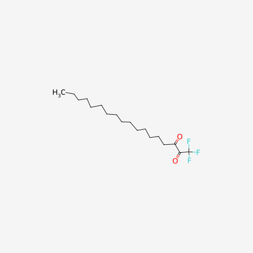 CCCCCCCCCCCCCCCC(=O)C(=O)C(F)(F)F